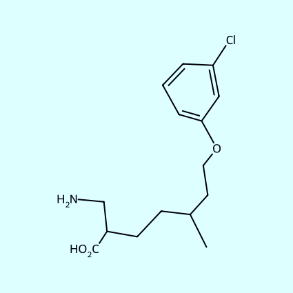 CC(CCOc1cccc(Cl)c1)CCC(CN)C(=O)O